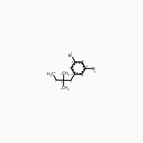 CCC(C)(C)Cc1cc(Br)cc(Br)c1